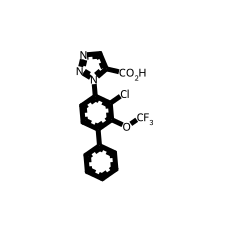 O=C(O)c1cnnn1-c1ccc(-c2ccccc2)c(OC(F)(F)F)c1Cl